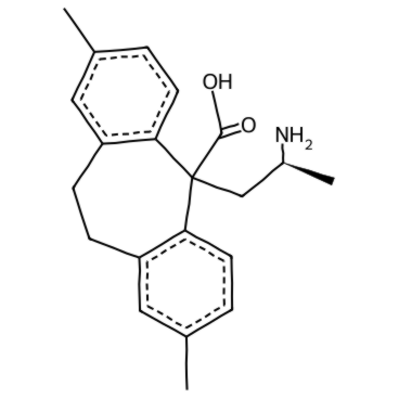 Cc1ccc2c(c1)CCc1cc(C)ccc1C2(C[C@H](C)N)C(=O)O